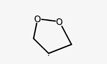 [CH]1COOC1